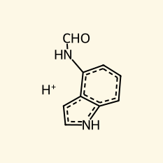 O=CNc1cccc2[nH]ccc12.[H+]